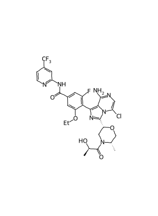 CCOc1cc(C(=O)Nc2cc(C(F)(F)F)ccn2)cc(F)c1-c1nc([C@H]2CN(C(=O)[C@@H](C)O)[C@@H](C)CO2)n2c(Cl)cnc(N)c12